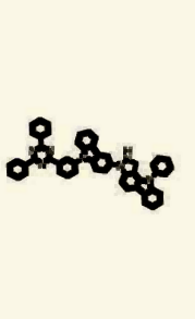 c1ccc(-c2nc(-c3ccccc3)nc(-c3cccc(-n4c5ccccc5c5cc(N6NCc7c6ccc6c8ccccc8n(-c8ccccc8)c76)ccc54)c3)n2)cc1